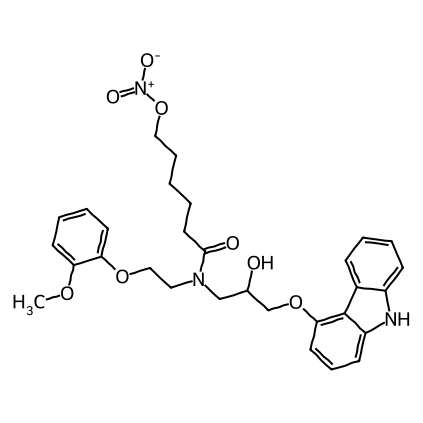 COc1ccccc1OCCN(CC(O)COc1cccc2[nH]c3ccccc3c12)C(=O)CCCCCO[N+](=O)[O-]